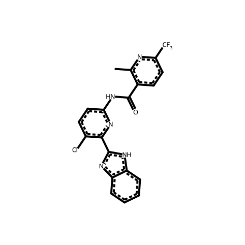 Cc1nc(C(F)(F)F)ccc1C(=O)Nc1ccc(Cl)c(-c2nc3ccccc3[nH]2)n1